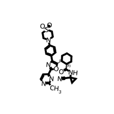 Cc1nccc(-c2nc(-c3ccc(N4CCS(=O)(=O)CC4)cc3)c([C@@H]3CCCC[C@H]3C(=O)NC3(C#N)CC3)o2)n1